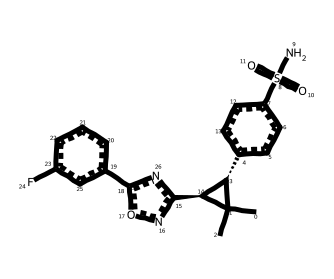 CC1(C)[C@@H](c2ccc(S(N)(=O)=O)cc2)[C@@H]1c1noc(-c2cccc(F)c2)n1